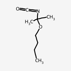 CCCCOC(C)(C)N=C=O